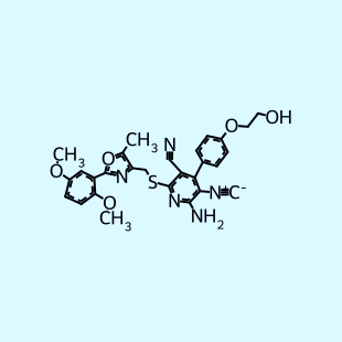 [C-]#[N+]c1c(N)nc(SCc2nc(-c3cc(OC)ccc3OC)oc2C)c(C#N)c1-c1ccc(OCCO)cc1